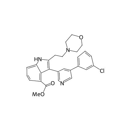 COC(=O)c1cccc2[nH]c(CCN3CCOCC3)c(-c3cncc(-c4cccc(Cl)c4)c3)c12